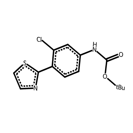 CC(C)(C)OC(=O)Nc1ccc(-c2nccs2)c(Cl)c1